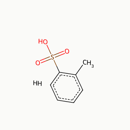 Cc1ccccc1S(=O)(=O)O.[HH]